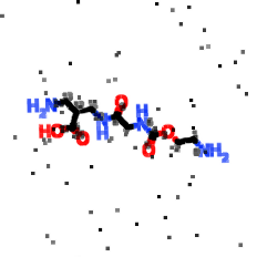 NCCOC(=O)NCC(=O)NC[C@H](CN)C(=O)O